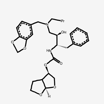 CC(C)CN(Cc1ccc2c(c1)OCO2)C[C@@H](O)[C@H](Cc1ccccc1)NC(=O)O[C@H]1CO[C@H]2OCCC21